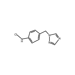 ClNc1ccc(Cn2cncn2)cc1